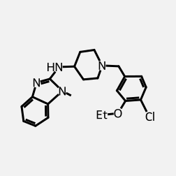 CCOc1cc(CN2CCC(Nc3nc4ccccc4n3C)CC2)ccc1Cl